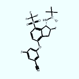 CC(C)(C)[S@+]([O-])N[C@H]1c2c(S(=O)(=O)C(F)(F)F)ccc(Oc3cc(F)cc(C#N)c3)c2C[C@@H]1F